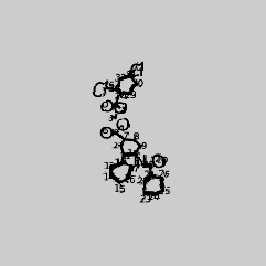 O=C(OCOC(=O)C1CCc2c(c3ccccc3n2C(=O)c2ccccc2)C1)c1ccc(Cl)cc1Cl